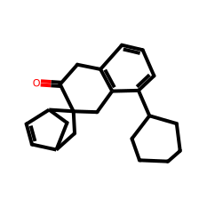 O=C1Cc2cccc(C3CCCCC3)c2CC12CC1C=CC2C1